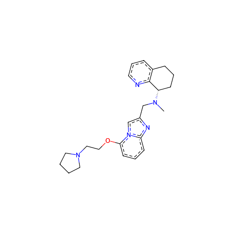 CN(Cc1cn2c(OCCN3CCCC3)cccc2n1)[C@H]1CCCc2cccnc21